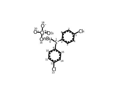 CCCC[S+](c1ccc(Cl)cc1)c1ccc(Cl)cc1.[O-][Cl+3]([O-])([O-])[O-]